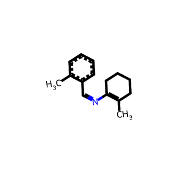 CC1=C(/N=C\c2ccccc2C)CCCC1